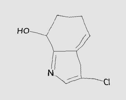 OC1CCC=C2C(Cl)=CN=C21